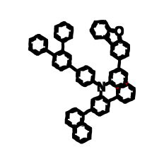 c1ccc(-c2ccc(-c3ccc(N(c4cccc(-c5ccc6oc7ccccc7c6c5)c4)c4cc(-c5cccc6ccccc56)ccc4-c4ccccc4)cc3)cc2-c2ccccc2)cc1